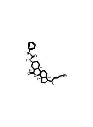 CC(C)CCC[C@@H](C)[C@H]1CC[C@H]2C3=C(CC[C@]12C)[C@@]1(C)CC[C@H](NC(=O)Nc2ccccc2)C[C@@H]1C(=O)O3